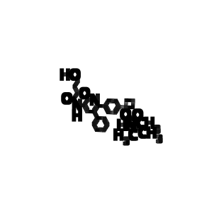 CC(C)(C)NC(=O)OC1(c2ccc(-c3nc4c(cc3-c3ccccc3)NC(=O)C(CCO)O4)cc2)CCC1